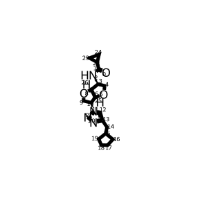 O=C(N[C@H]1CO[C@H]2[C@@H]1OC[C@@H]2n1cc(CC2CCCC2)nn1)C1CC1